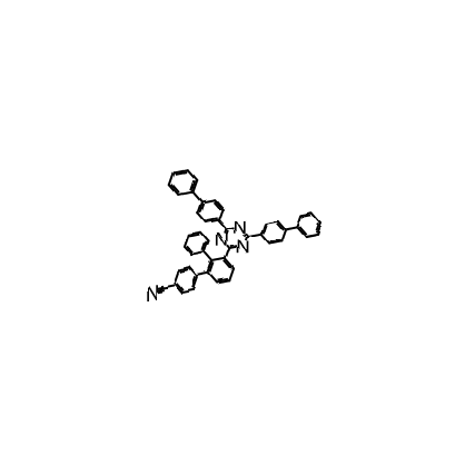 N#Cc1ccc(-c2cccc(-c3nc(-c4ccc(-c5ccccc5)cc4)nc(-c4ccc(-c5ccccc5)cc4)n3)c2-c2ccccc2)cc1